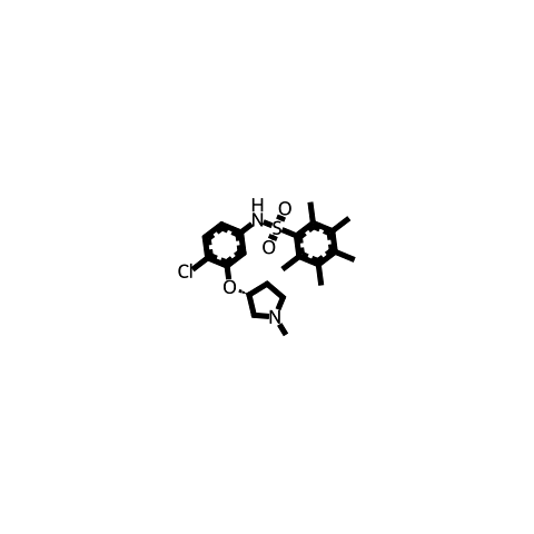 Cc1c(C)c(C)c(S(=O)(=O)Nc2ccc(Cl)c(O[C@@H]3CCN(C)C3)c2)c(C)c1C